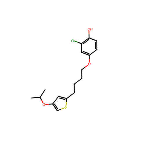 CC(C)Oc1csc(CCCCOc2ccc(O)c(Cl)c2)c1